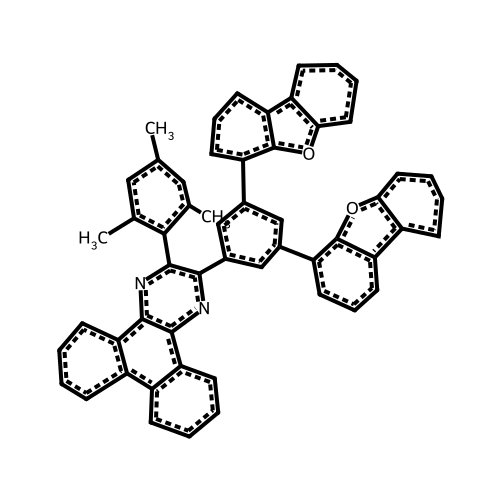 Cc1cc(C)c(-c2nc3c4ccccc4c4ccccc4c3nc2-c2cc(-c3cccc4c3oc3ccccc34)cc(-c3cccc4c3oc3ccccc34)c2)c(C)c1